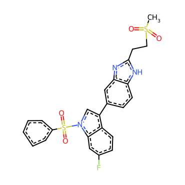 CS(=O)(=O)CCc1nc2cc(-c3cn(S(=O)(=O)c4ccccc4)c4cc(F)ccc34)ccc2[nH]1